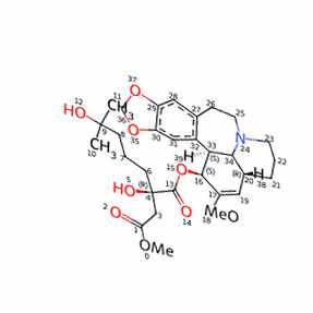 COC(=O)C[C@](O)(CCCC(C)(C)O)C(=O)O[C@@H]1C(OC)=C[C@H]2CCCN3CCc4cc5c(cc4[C@H]1C23)OCO5